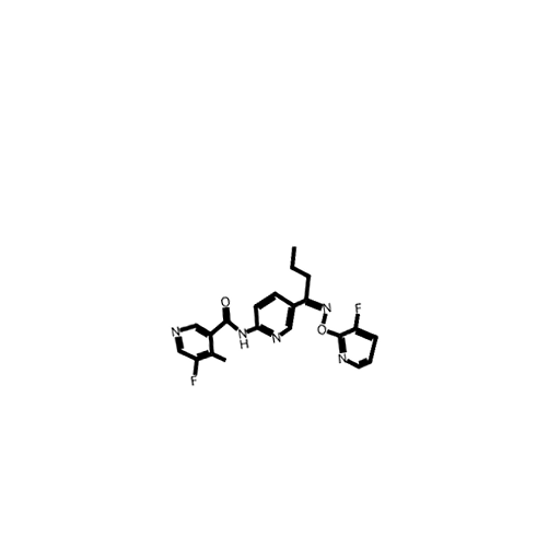 CCCC(=NOc1ncccc1F)c1ccc(NC(=O)c2cncc(F)c2C)nc1